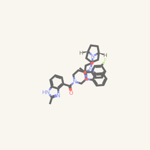 Cc1nc2c(C(=O)N3CCC(CCN4[C@@H]5CC[C@H]4CC(n4c(C)nc6ccccc64)C5)(c4cccc(F)c4)CC3)cccc2[nH]1